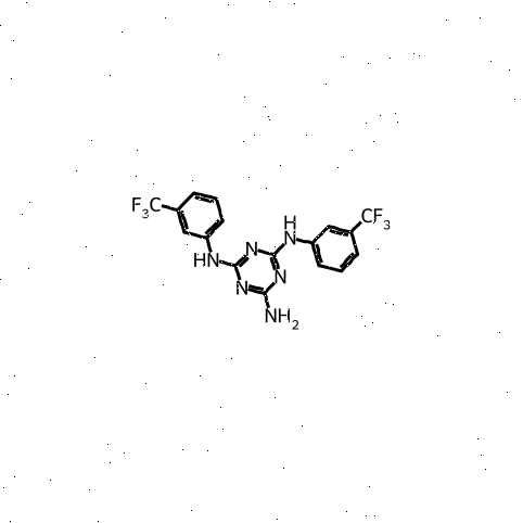 Nc1nc(Nc2cccc(C(F)(F)F)c2)nc(Nc2cccc(C(F)(F)F)c2)n1